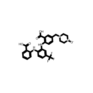 O=C(O)c1ccccc1Nc1ccc(C(F)(F)F)cc1Nc1ccc(CN2CC[S+]([O-])CC2)cc1C(=O)O